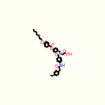 CCCCCCCOc1ccc(C(=O)Oc2ccc(CN(CC(=O)O)C(=O)c3ccc(NC(=O)Cc4ccc(CC)cc4)cc3)cc2)cc1